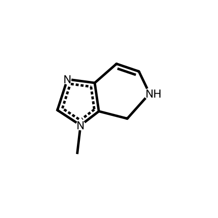 Cn1cnc2c1CNC=C2